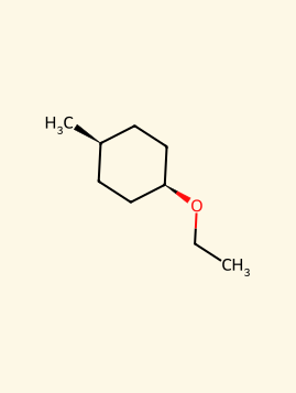 CCO[C@H]1CC[C@@H](C)CC1